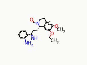 CCOc1cc2c(cc1OC)CCN(C=O)[C@H]2CCC(=N)c1ccccc1N